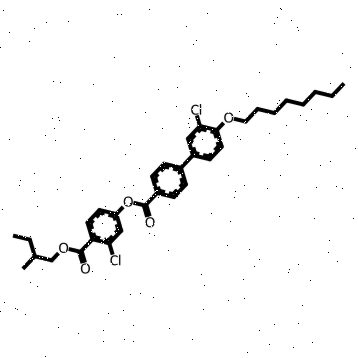 CCCCCCCCOc1ccc(-c2ccc(C(=O)Oc3ccc(C(=O)OCC(C)CC)c(Cl)c3)cc2)cc1Cl